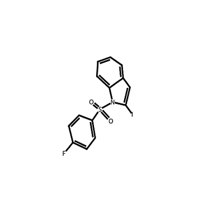 O=S(=O)(c1ccc(F)cc1)n1c(I)cc2ccccc21